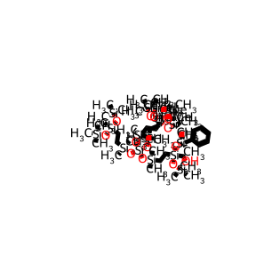 CO[Si](CC[Si](C)(C)O[Si](O[Si](C)(C)CC[Si](C)(O[Si](C)(C)C)O[Si](C)(C)C)(O[Si](C)(C)CC[Si](CO)(O[Si](C)(C)C)O[Si](C)(C)c1ccccc1)O[Si](C)(C)CC[Si](OC)(O[Si](C)(C)C)O[Si](C)(C)C)(O[Si](C)(C)C)O[Si](C)(C)C